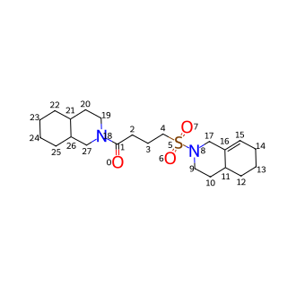 O=C(CCCS(=O)(=O)N1CCC2CCCC=C2C1)N1CCC2CCCCC2C1